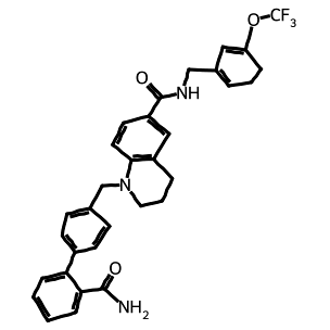 NC(=O)c1ccccc1-c1ccc(CN2CCCc3cc(C(=O)NCC4=CCCC(OC(F)(F)F)=C4)ccc32)cc1